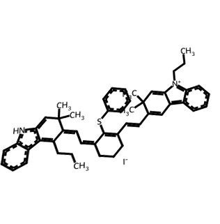 CCCC1=c2c([nH]c3ccccc23)=CC(C)(C)C1=CC=C1CCCC(C=CC2=CC3=c4ccccc4=[N+](CCC)C3=CC2(C)C)=C1Sc1ccccc1.[I-]